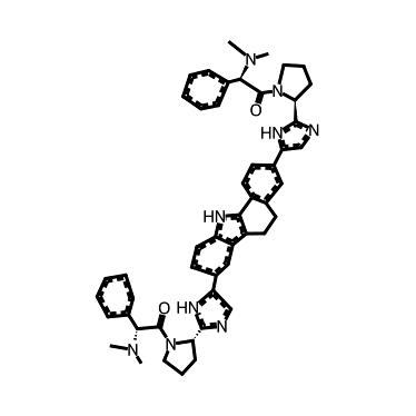 CN(C)[C@@H](C(=O)N1CCC[C@H]1c1ncc(-c2ccc3c(c2)CCc2c-3[nH]c3ccc(-c4cnc([C@@H]5CCCN5C(=O)[C@@H](c5ccccc5)N(C)C)[nH]4)cc23)[nH]1)c1ccccc1